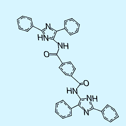 O=C(Nc1[nH]c(-c2ccccc2)nc1-c1ccccc1)c1ccc(C(=O)Nc2[nH]c(-c3ccccc3)nc2-c2ccccc2)cc1